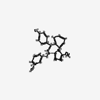 Cc1nnc2n1-c1ccccc1C(c1ccc(Cl)cc1)=NN2Cc1ccc[n+]([O-])c1